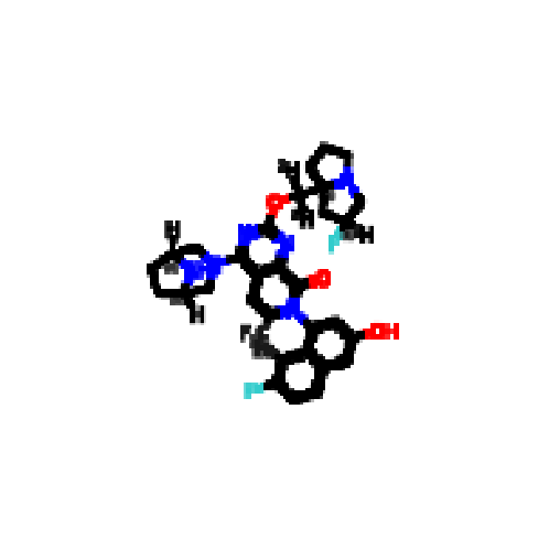 [2H]C([2H])(Oc1nc(N2C[C@H]3CC[C@@H](C2)N3)c2cc(C(F)(F)F)n(-c3cc(O)cc4ccc(F)c(CC)c34)c(=O)c2n1)[C@@]12CCCN1C[C@]([2H])(F)C2